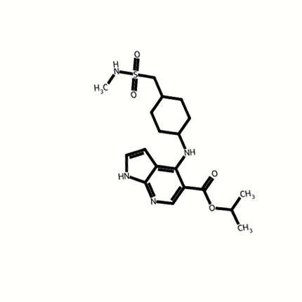 CNS(=O)(=O)CC1CCC(Nc2c(C(=O)OC(C)C)cnc3[nH]ccc23)CC1